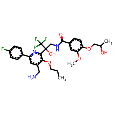 CCCOc1c(CN)cc(-c2ccc(F)cc2)nc1C(O)(CNC(=O)c1ccc(OCC(C)O)c(OC)c1)C(F)(F)F